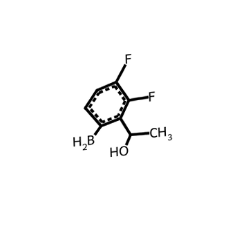 Bc1ccc(F)c(F)c1C(C)O